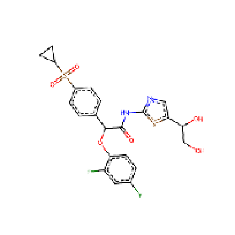 O=C(Nc1ncc(C(O)CO)s1)C(Oc1ccc(F)cc1F)c1ccc(S(=O)(=O)C2CC2)cc1